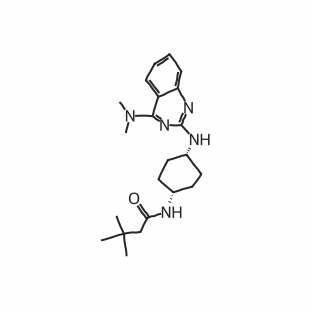 CN(C)c1nc(N[C@H]2CC[C@@H](NC(=O)CC(C)(C)C)CC2)nc2ccccc12